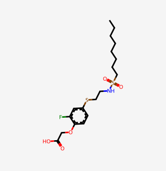 CCCCCCCCS(=O)(=O)NCCSc1ccc(OCC(=O)O)c(F)c1